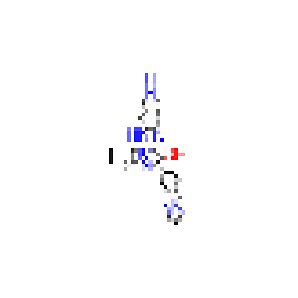 CN1N=C(c2ccc(Cn3cccn3)cc2)C(O)C1c1nc2cc3c(cc2[nH]1)CNC3